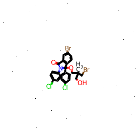 CC(CO)(CBr)COC1(c2ccc(Cl)cc2)c2ccc(Br)cc2C(=O)N1c1ccc(Cl)cc1